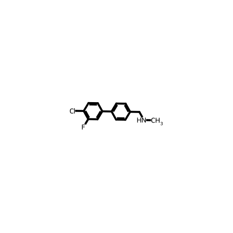 CNCc1ccc(-c2ccc(Cl)c(F)c2)cc1